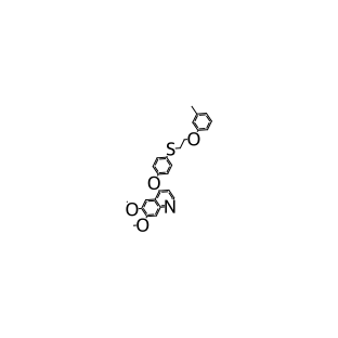 COc1cc2nccc(Oc3ccc(SCCOc4cccc(C)c4)cc3)c2cc1OC